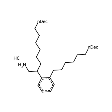 CCCCCCCCCCCCCCCCc1ccccc1C(CN)CCCCCCCCCCCCCCCC.Cl